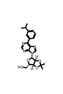 CC(C)c1cccc(-c2ncnc3c2ncn3[C@@H]2O[C@H](CO)[C@H]3OC(C)(C)O[C@H]32)c1